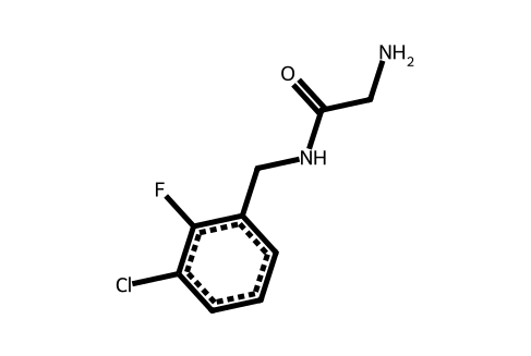 NCC(=O)NCc1cccc(Cl)c1F